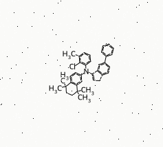 Cc1cccc(N(C2=CCc3ccc(-c4ccccc4)cc32)c2ccc3c(c2)C(C)(C)CCC3(C)C)c1Cl